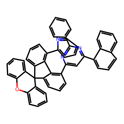 c1ccc(-c2nc(-c3cccc4c3-c3c(-c5ccccn5)cccc3C43c4ccccc4Oc4ccccc43)cc(-c3cccc4ccccc34)n2)cc1